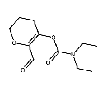 CCN(CC)C(=O)OC1=C(C=O)OCCC1